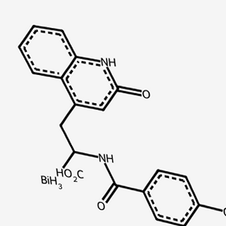 O=C(NC(Cc1cc(=O)[nH]c2ccccc12)C(=O)O)c1ccc(Cl)cc1.[BiH3]